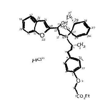 CCOC(=O)COc1ccc(C[C@@H](C)N(CC(O)c2cc3ccccc3o2)C2(O)C=CC=C[C@H]2CC)cc1.Cl